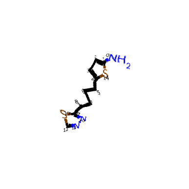 Nc1ccc(CCCCc2nncs2)s1